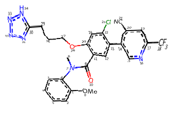 COc1ccccc1N(C)C(=O)c1cc(-c2cnc(C(F)(F)F)cc2C#N)c(Cl)cc1OCCCc1nnn[nH]1